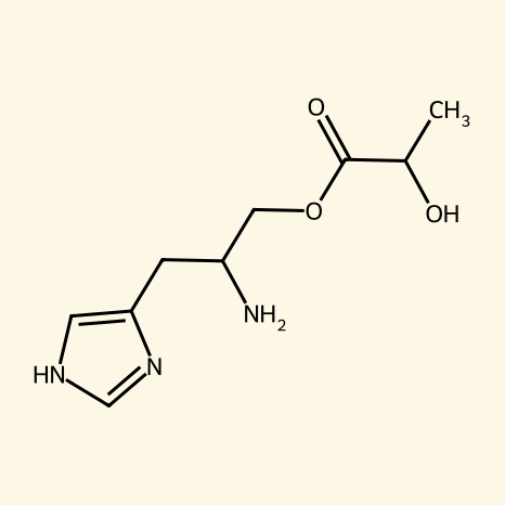 CC(O)C(=O)OCC(N)Cc1c[nH]cn1